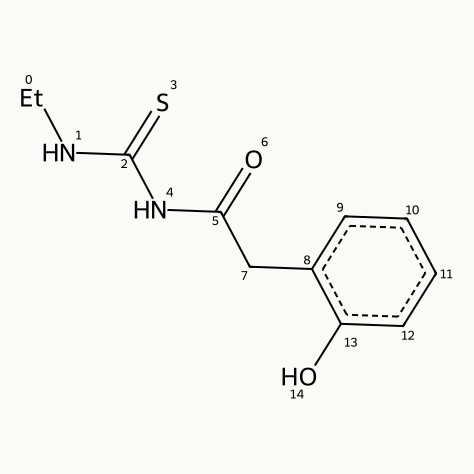 CCNC(=S)NC(=O)Cc1ccccc1O